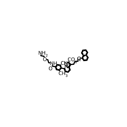 Cc1cc(C(=O)NCCOCCN)cc(C)c1-c1cccc2c(CCCOc3cccc4ccccc34)c(C(=O)O)nn12